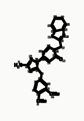 COc1ccc(Cc2nc(N)nn2-c2cc(=O)n(Cc3nc4ccccc4s3)cn2)cc1OC